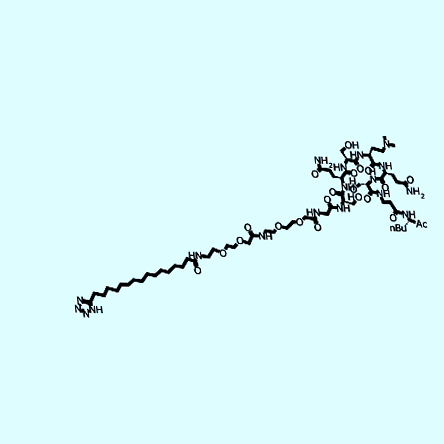 CCCC[C@H](NC(=O)CCNC(=O)[C@H](CO)NC(=O)[C@H](CCC(N)=O)NC(=O)[C@H](CCN(C)C)NC(=O)[C@H](CO)NC(=O)[C@H](CCC(N)=O)NC(=O)[C@@H](CO)NC(=O)CNC(=O)COCCOCCNC(=O)COCCOCCNC(=O)CCCCCCCCCCCCCCCc1nnn[nH]1)C(C)=O